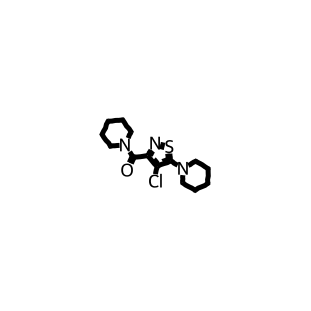 O=C(c1nsc(N2CCCCC2)c1Cl)N1CCCCC1